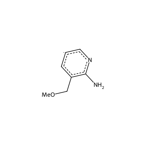 COCc1c[c]cnc1N